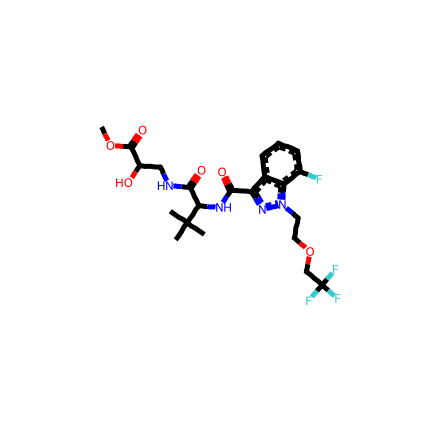 COC(=O)C(O)CNC(=O)C(NC(=O)c1nn(CCOCC(F)(F)F)c2c(F)cccc12)C(C)(C)C